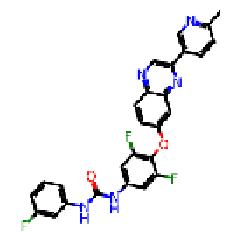 Cc1ccc(-c2cnc3ccc(Oc4c(F)cc(NC(=O)Nc5cccc(F)c5)cc4F)cc3n2)cn1